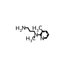 Cc1cccnc1N(C)CCCN